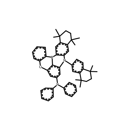 CC1(C)CCC(C)(C)c2cc(N3c4cc5c(cc4B4c6ccccc6Oc6cc(N(c7ccccc7)c7ccccc7)cc3c64)C(C)(C)CCC5(C)C)ccc21